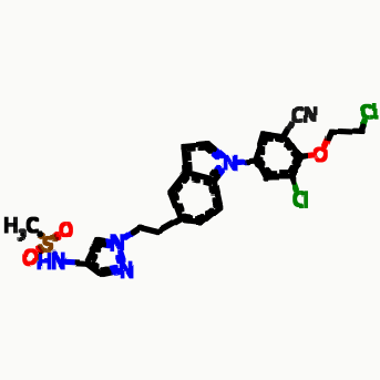 CS(=O)(=O)Nc1cnn(CCc2ccc3c(ccn3-c3cc(Cl)c(OCCCl)c(C#N)c3)c2)c1